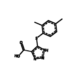 Cc1ccc(Sc2[nH]nnc2C(=O)O)c(C)c1